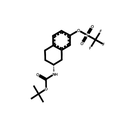 CC(C)(C)OC(=O)N[C@@H]1CCc2ccc(OS(=O)(=O)C(F)(F)F)cc2C1